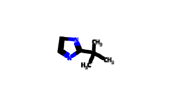 CC(C)(C)C1=NC=C=N1